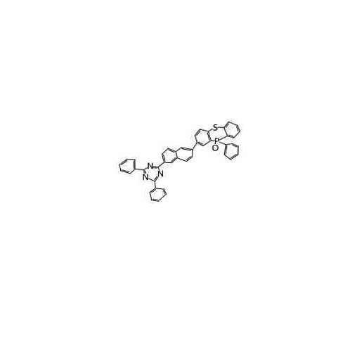 O=P1(c2ccccc2)c2ccccc2Sc2ccc(-c3ccc4cc(-c5nc(-c6ccccc6)nc(-c6ccccc6)n5)ccc4c3)cc21